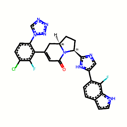 O=C1C=C(c2c(-n3cnnn3)ccc(Cl)c2F)C[C@H]2CC[C@@H](c3ncc(-c4ccc5cc[nH]c5c4F)[nH]3)N12